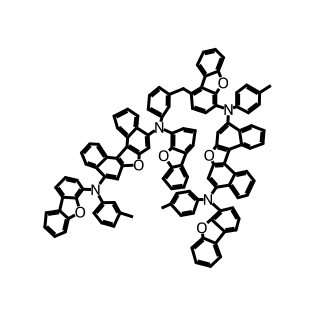 Cc1ccc(N(c2cc3oc4cc(N(c5ccc(C)cc5)c5ccc(Cc6cccc(N(c7cc8oc9cc(N(c%10cccc(C)c%10)c%10cccc%11c%10oc%10ccccc%10%11)c%10ccccc%10c9c8c8ccccc78)c7cccc8c7oc7ccccc78)c6)c6c5oc5ccccc56)c5ccccc5c4c3c3ccccc23)c2cccc3c2oc2ccccc23)cc1